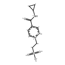 O=C(NC1CC1)c1cc[n+](CCS(=O)(=O)[O-])nc1